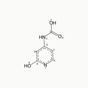 O=C(O)Nc1ccnc(O)c1